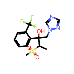 CC(C(O)(Cn1cncn1)c1ccccc1C(F)(F)F)S(C)(=O)=O